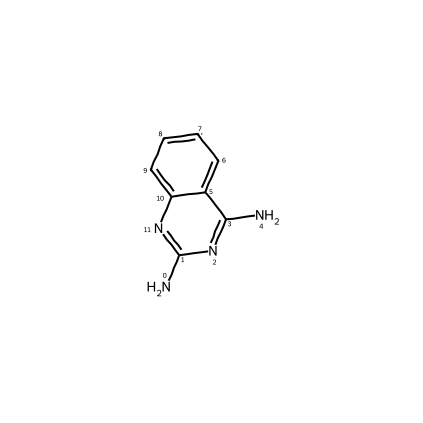 Nc1nc(N)c2c[c]ccc2n1